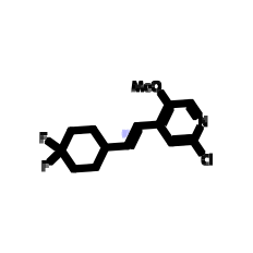 COc1cnc(Cl)cc1/C=C/C1CCC(F)(F)CC1